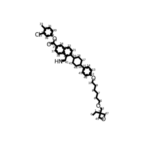 CCC1(COCCCCCCOc2ccc(C3CCC(c4ccc5cc(C(=O)Oc6ccc(C)c(Cl)c6)ccc5c4C=N)CC3)cc2)COC1